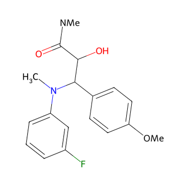 CNC(=O)C(O)C(c1ccc(OC)cc1)N(C)c1cccc(F)c1